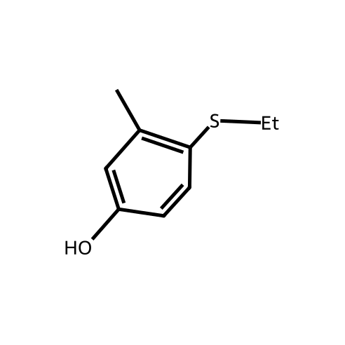 CCSc1ccc(O)cc1C